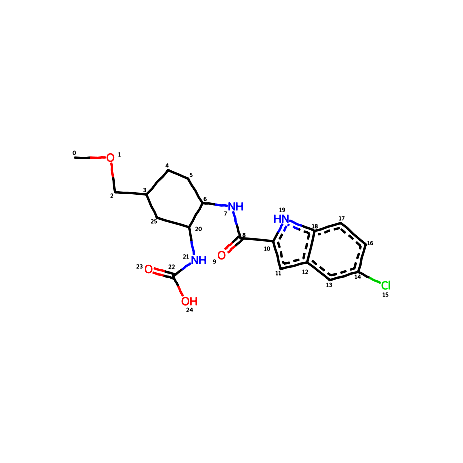 COCC1CCC(NC(=O)c2cc3cc(Cl)ccc3[nH]2)C(NC(=O)O)C1